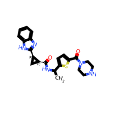 CC(NC(=O)[C@@H]1C[C@H]1c1nc2ccccc2[nH]1)c1ccc(C(=O)N2CCNCC2)s1